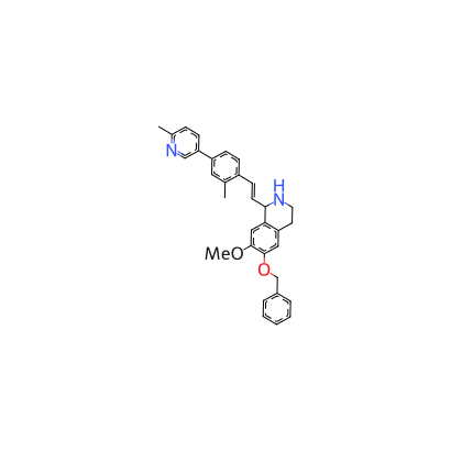 COc1cc2c(cc1OCc1ccccc1)CCNC2/C=C/c1ccc(-c2ccc(C)nc2)cc1C